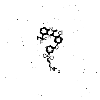 Cc1nc2cccc(C(F)(F)F)c2nc1-c1cc(Oc2cccc(S(=O)(=O)CCCN)c2)ccc1Cl